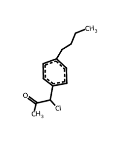 CCCCc1ccc(C(Cl)C(C)=O)cc1